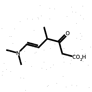 CC(C=CN(C)C)C(=O)CC(=O)O